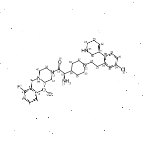 CCOc1cccc(F)c1CN1CCN(C(=O)[C@H](N)C2CCN(CCc3cc(Cl)ccc3C3=CCCNC3)CC2)CC1